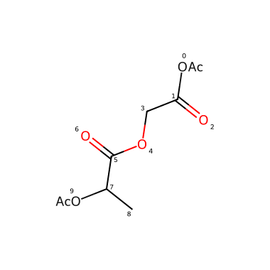 CC(=O)OC(=O)COC(=O)C(C)OC(C)=O